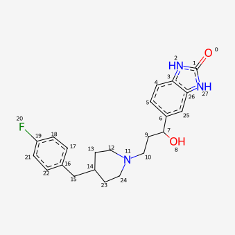 O=c1[nH]c2ccc(C(O)CCN3CCC(Cc4ccc(F)cc4)CC3)cc2[nH]1